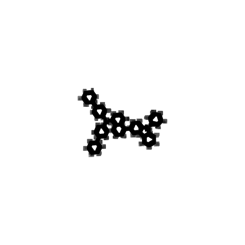 c1ccc(-c2ccc(N(c3ccc(-c4ccccc4)cc3)c3cccc4c(-c5ccc6c(c5)c5ccccc5n6-c5ccccc5)cccc34)cc2)cc1